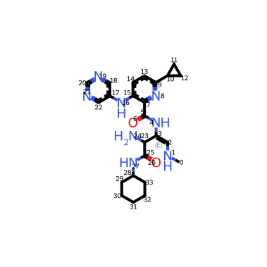 CN/C=C(/NC(=O)c1nc(C2CC2)ccc1Nc1cncnc1)C(N)C(=O)NC1CCCCC1